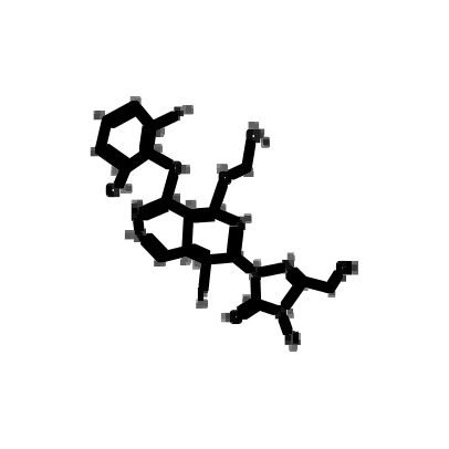 CCn1c(CO)nn(-c2nc(OCC(F)(F)F)c3c(Oc4c(F)cccc4Cl)nncc3c2F)c1=O